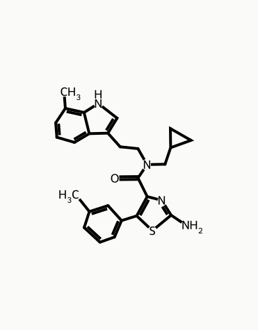 Cc1cccc(-c2sc(N)nc2C(=O)N(CCc2c[nH]c3c(C)cccc23)CC2CC2)c1